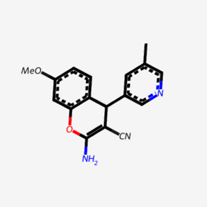 COc1ccc2c(c1)OC(N)=C(C#N)C2c1cncc(C)c1